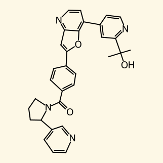 CC(C)(O)c1cc(-c2ccnc3cc(-c4ccc(C(=O)N5CCCC5c5cccnc5)cc4)oc23)ccn1